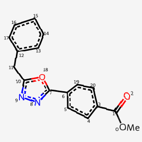 COC(=O)c1ccc(-c2nnc(Cc3ccccc3)o2)cc1